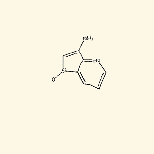 Nc1c[s+]([O-])c2cccnc12